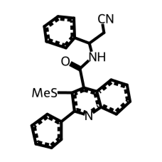 CSc1c(-c2ccccc2)nc2ccccc2c1C(=O)NC(CC#N)c1ccccc1